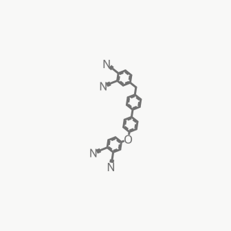 N#Cc1ccc(Cc2ccc(-c3ccc(Oc4ccc(C#N)c(C#N)c4)cc3)cc2)cc1C#N